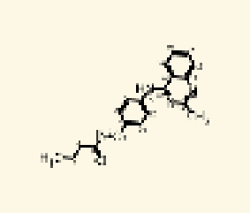 CCCC(=O)NOc1ccc(Nc2nc(C)nc3ccccc23)cc1